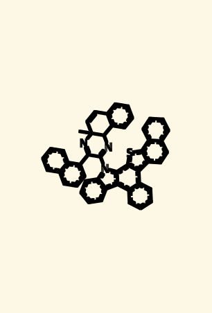 CC12C=Cc3ccccc3C1N=C(n1c3ccccc3c3c4ccccc4c4c5ccc6ccccc6c5sc4c31)C(c1cccc3ccccc13)=N2